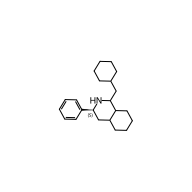 c1ccc([C@@H]2CC3CCCCC3C(CC3CCCCC3)N2)cc1